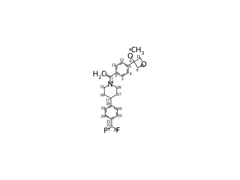 C=C(c1ccc(C2(OC)COC2)cc1)N1CCC(c2ccc(C(F)F)cc2)CC1